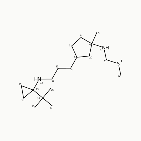 CSCNC1(C)CCC(CCCNC2(C(C)(C)C)CC2)C1